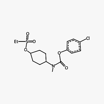 CCS(=O)(=O)OC1CCC(N(C)C(=O)Oc2ccc(Cl)cc2)CC1